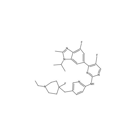 CCN1CCC(F)(Cc2ccc(Nc3ncc(F)c(-c4cc(F)c5nc(C)n(C(C)C)c5c4)n3)nc2)CC1